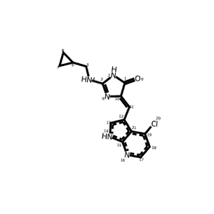 O=C1NC(NCC2CC2)=NC1=Cc1c[nH]c2nccc(Cl)c12